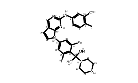 Cc1ccc(Nc2ncc3ccn(-c4cc(F)c(C(O)(O)N5CCSCC5)c(F)c4)c3n2)cc1Cl